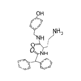 NCCCC(NC(=O)C(c1ccccc1)c1ccccc1)C(=O)NCc1ccc(O)cc1